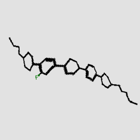 CCCCCC1CCC(c2ccc(C3CCC(c4ccc(C5CCC(CCCC)CC5)c(F)c4)CC3)cc2)CC1